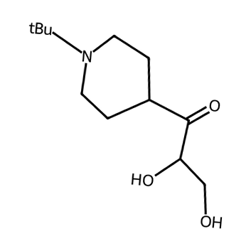 CC(C)(C)N1CCC(C(=O)C(O)CO)CC1